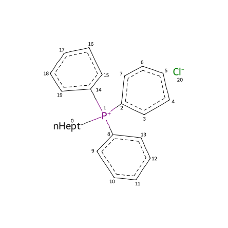 CCCCCCC[P+](c1ccccc1)(c1ccccc1)c1ccccc1.[Cl-]